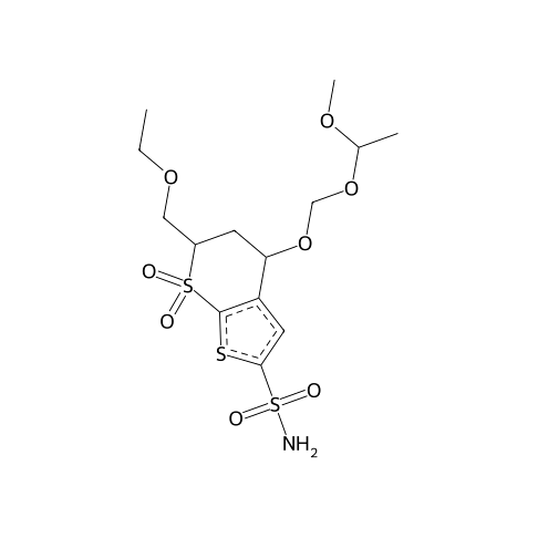 CCOCC1CC(OCOC(C)OC)c2cc(S(N)(=O)=O)sc2S1(=O)=O